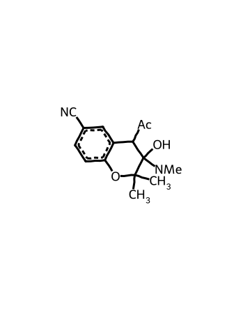 CNC1(O)C(C(C)=O)c2cc(C#N)ccc2OC1(C)C